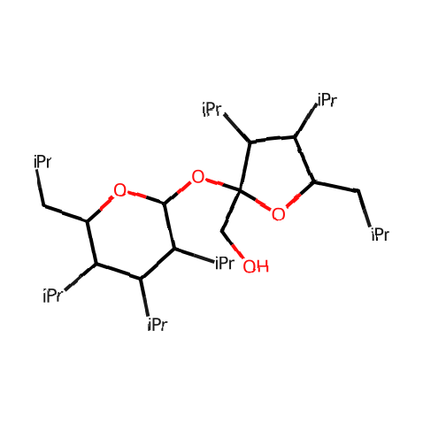 CC(C)CC1OC(OC2(CO)OC(CC(C)C)C(C(C)C)C2C(C)C)C(C(C)C)C(C(C)C)C1C(C)C